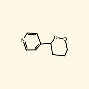 c1cc(C2CCCOO2)ccn1